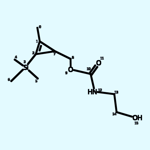 CC1=C([Si](C)(C)C)C1COC(=O)NCCO